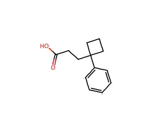 O=C(O)CCC1(c2cc[c]cc2)CCC1